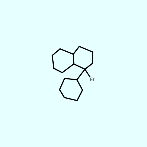 CCC1(C2CCCCC2)CCCC2CCCCC21